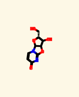 O=c1ccn2c(n1)OC1C(O)[C@@H](CO)OC12